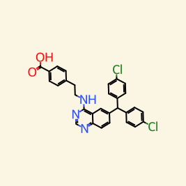 O=C(O)c1ccc(CCNc2ncnc3ccc(C(c4ccc(Cl)cc4)c4ccc(Cl)cc4)cc23)cc1